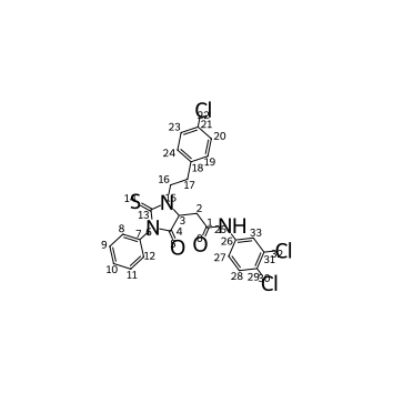 O=C(CC1C(=O)N(c2ccccc2)C(=S)N1CCc1ccc(Cl)cc1)Nc1ccc(Cl)c(Cl)c1